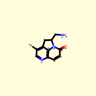 NCC1Cc2c(F)cnc3ccc(=O)n1c23